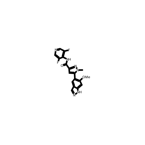 COc1cc2[nH]ncc2cc1-c1cc(C(=O)Nc2c(F)cncc2F)nn1C